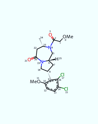 COCC(=O)N1C[C@@H]2C[C@H](c3c(OC)ccc(Cl)c3Cl)CN2C(=O)C[C@@H]1C